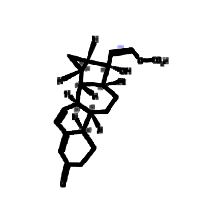 CC[C@]12CC[C@H]3[C@@H](C=CC4=CC(=O)CC[C@@H]43)[C@@H]1[C@@H]1C[C@@H]1[C@@]2(O)/C=C\OC(=O)O